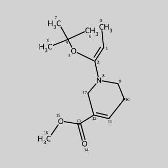 C/C=C(\OC(C)(C)C)N1CCC=C(C(=O)OC)C1